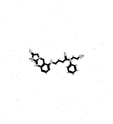 O=C1CN2Cc3c(cccc3OCCCC(=O)N(CCO)c3ccccc3)N=C2N1